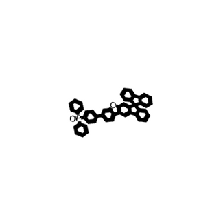 O=P(c1ccccc1)(c1ccccc1)c1ccc(-c2ccc3c(c2)oc2cc4c(cc23)-c2ccccc2C42c3ccccc3-c3ccccc32)cc1